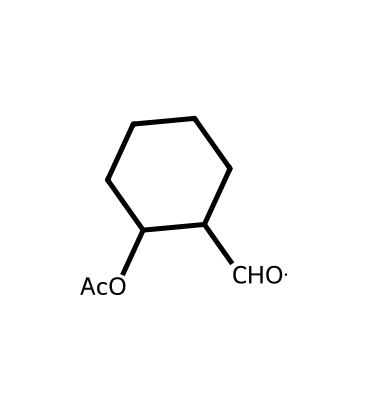 CC(=O)OC1CCCCC1[C]=O